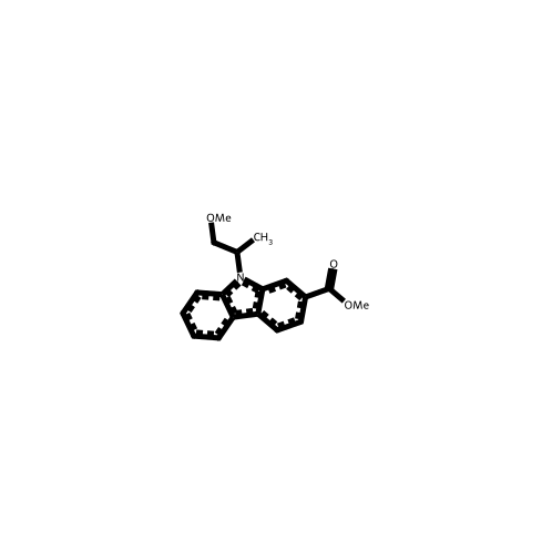 COCC(C)n1c2ccccc2c2ccc(C(=O)OC)cc21